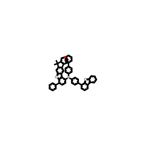 CC1(C)c2ccccc2-c2cc3c(cc21)oc1c(-c2ccccc2)ccc(N(c2ccc(-c4ccccc4)cc2)c2ccc(-c4cccc5c4oc4ccccc45)cc2)c13